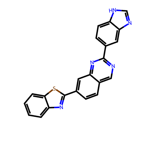 c1ccc2sc(-c3ccc4cnc(-c5ccc6[nH]cnc6c5)nc4c3)nc2c1